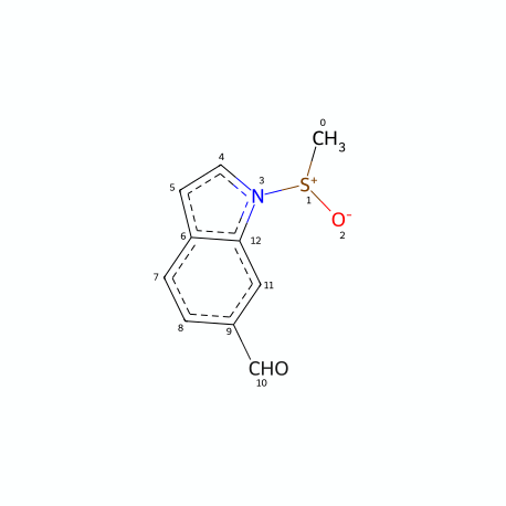 C[S+]([O-])n1ccc2ccc(C=O)cc21